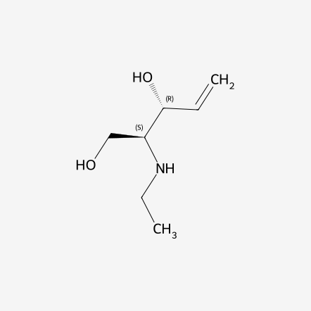 C=C[C@@H](O)[C@H](CO)NCC